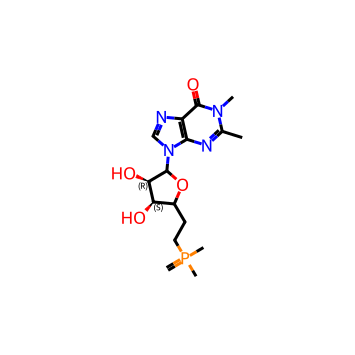 C=P(C)(C)CCC1OC(n2cnc3c(=O)n(C)c(C)nc32)[C@H](O)[C@@H]1O